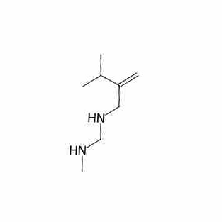 C=C(CNCNC)C(C)C